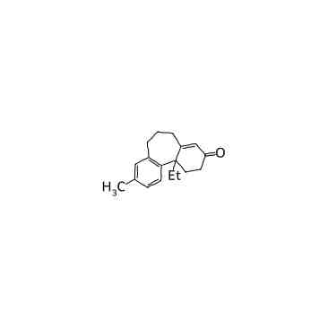 CCC12CCC(=O)C=C1CCCc1cc(C)ccc12